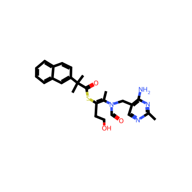 CC(=C(CCO)SC(=O)C(C)(C)c1ccc2ccccc2c1)N(C=O)Cc1cnc(C)nc1N